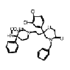 CCOC(=O)NC1(c2ccccc2)CCN(CCC2(c3ccc(Cl)c(Cl)c3)CN(Cc3ccccc3)C(=O)CO2)CC1